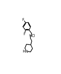 Cl.Fc1ccc(CCCC2CCNCC2)c(F)c1